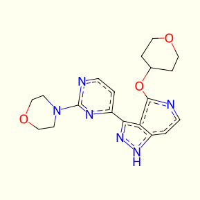 c1cc(-c2n[nH]c3ccnc(OC4CCOCC4)c23)nc(N2CCOCC2)n1